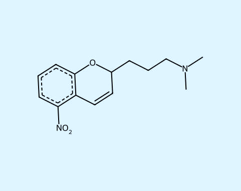 CN(C)CCCC1C=Cc2c(cccc2[N+](=O)[O-])O1